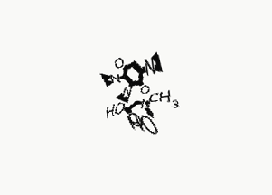 CN(CO)CC(=O)O.O=C1C=C(N2CC2)C(=O)C(N2CC2)=C1N1CC1